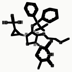 COCCO[C@@H]1[C@H](O[Si](c2ccccc2)(c2ccccc2)C(C)(C)C)[C@@H](C2CC2P(=O)(O)O)O[C@H]1n1cc(C)c(=O)[nH]c1=O